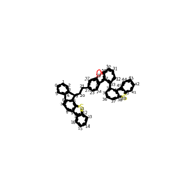 c1ccc2c(c1)-c1ccc3c(sc4ccccc43)c1C2CCc1ccc2c(c1)oc1cccc(-c3cccc4sc5ccccc5c34)c12